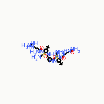 CC(C)(C)c1cc(NC(=O)c2cccc(C(=O)Nc3cc(C(C)(C)C)cc(NC(=O)[C@H](N)CCCNC(N)=O)c3SCCN)c2)c(SCCN)c(NC(=O)[C@H](N)CCCNC(=N)N)c1